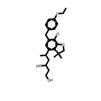 CCOc1ccc(Cc2cc(C(C)CC(O)CCO)c3c(c2Cl)OCC3(C)C)cc1